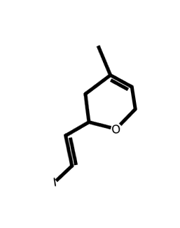 CC1=CCOC(/C=C/I)C1